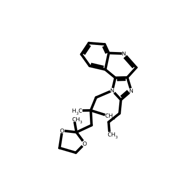 CCCc1nc2cnc3ccccc3c2n1CC(C)(C)CC1(C)OCCO1